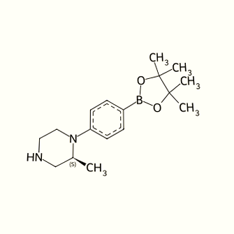 C[C@H]1CNCCN1c1ccc(B2OC(C)(C)C(C)(C)O2)cc1